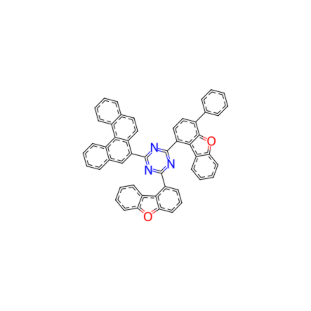 c1ccc(-c2ccc(-c3nc(-c4cc5ccccc5c5c4ccc4ccccc45)nc(-c4cccc5oc6ccccc6c45)n3)c3c2oc2ccccc23)cc1